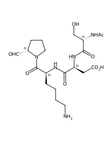 CC(=O)N[C@@H](CO)C(=O)N[C@@H](CC(=O)O)C(=O)N[C@@H](CCCCN)C(=O)N1CCC[C@H]1[C]=O